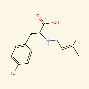 CC(C)=CCN[C@@H](Cc1ccc(O)cc1)C(=O)O